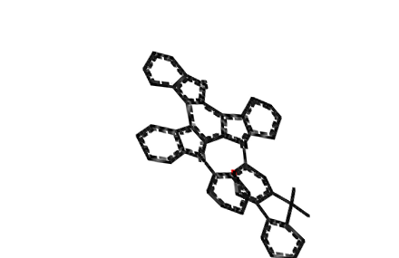 CC1(C)c2ccccc2-c2ccc(-n3c4ccccc4c4c5sc6ccccc6c5c5c6ccccc6n(-c6ccccc6)c5c43)cc21